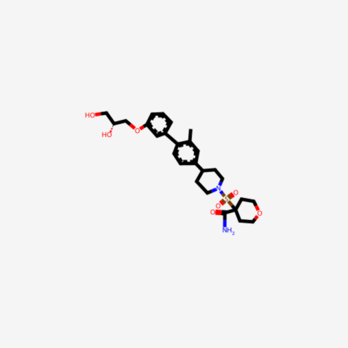 Cc1cc(C2CCN(S(=O)(=O)C3(C(N)=O)CCOCC3)CC2)ccc1-c1cccc(OC[C@H](O)CO)c1